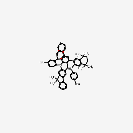 CC(C)(C)c1ccc(Nc2cc3c(cc2-c2cc(-c4ccccc4)cc4c2Cc2cc5c(cc2N4c2ccc(C(C)(C)C)cc2-c2ccccc2)C(C)(C)c2ccccc2-5)C(C)(C)CCC3(C)C)cc1